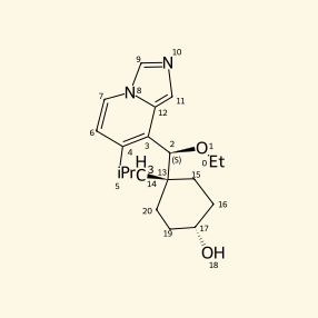 CCO[C@H](c1c(C(C)C)ccn2cncc12)[C@]1(C)CC[C@H](O)CC1